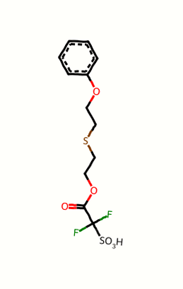 O=C(OCCSCCOc1ccccc1)C(F)(F)S(=O)(=O)O